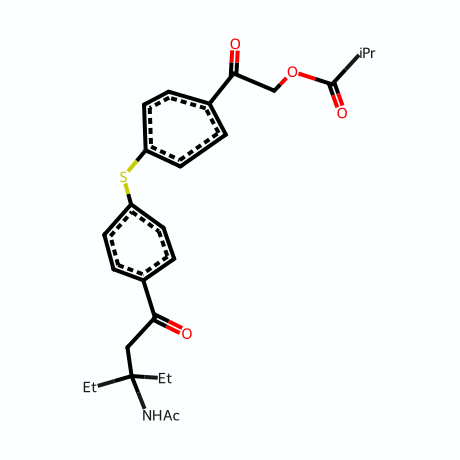 CCC(CC)(CC(=O)c1ccc(Sc2ccc(C(=O)COC(=O)C(C)C)cc2)cc1)NC(C)=O